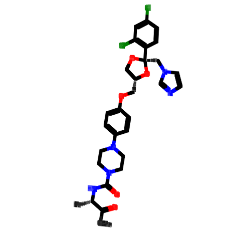 COC(=O)[C@@H](NC(=O)N1CCN(c2ccc(OC[C@@H]3CO[C@@](Cn4ccnc4)(c4ccc(Cl)cc4Cl)O3)cc2)CC1)C(C)C